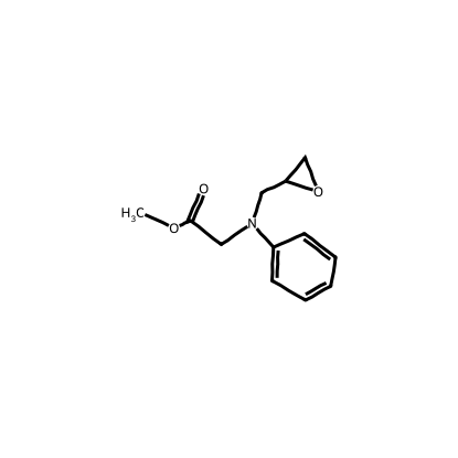 COC(=O)CN(CC1CO1)c1ccccc1